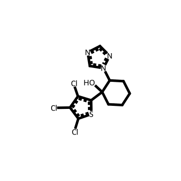 OC1(c2sc(Cl)c(Cl)c2Cl)CCCCC1n1cncn1